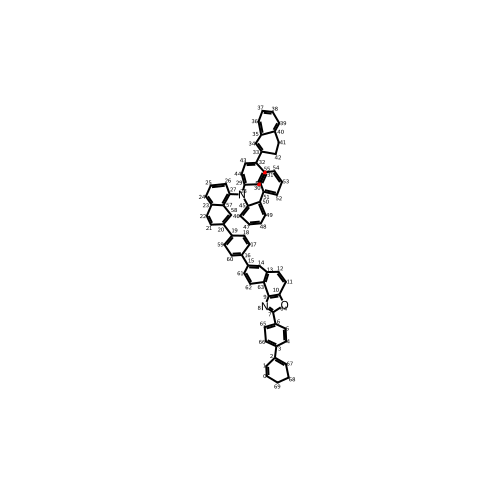 C1=CC(c2ccc(-c3nc4c(ccc5cc(-c6ccc(-c7ccc8cccc(N(c9ccc(C%10=Cc%11ccccc%11CC%10)cc9)c9ccccc9-c9ccccc9)c8c7)cc6)ccc54)o3)cc2)=CCC1